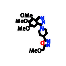 COCc1nnc(C2CCN(c3nncc4c(OC)c(OC)c(OC)cc34)CC2)o1